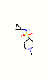 CN1CCC(S(=O)(=O)NC2CC2)CC1